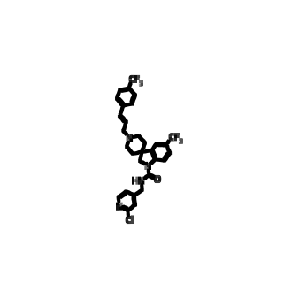 O=C(NCc1ccnc(Cl)c1)N1CC2(CCN(CC=Cc3ccc(C(F)(F)F)cc3)CC2)c2cc(C(F)(F)F)ccc21